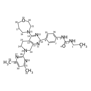 CCNC(=O)Nc1ccc(-c2nc3c(c(N4CCCOCC4)n2)CCN(c2nc(C)cc(C)n2)C3)cc1